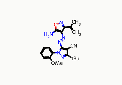 C=C(C)c1noc(N)c1/N=N/c1c(C#N)c(C(C)(C)C)nn1-c1ccccc1OC